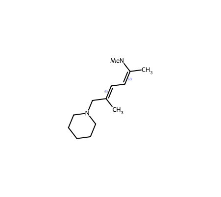 CN/C(C)=C\C=C(/C)CN1CCCCC1